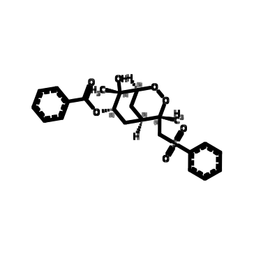 C[C@@]1(O)[C@@H]2C[C@H](C[C@@H]1OC(=O)c1ccccc1)[C@@](C)(CS(=O)(=O)c1ccccc1)OO2